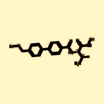 CCOCc1ccc(-c2ccc(C(=O)N[C@H](C(=O)NO)[C@@H](C)N)cc2)cc1